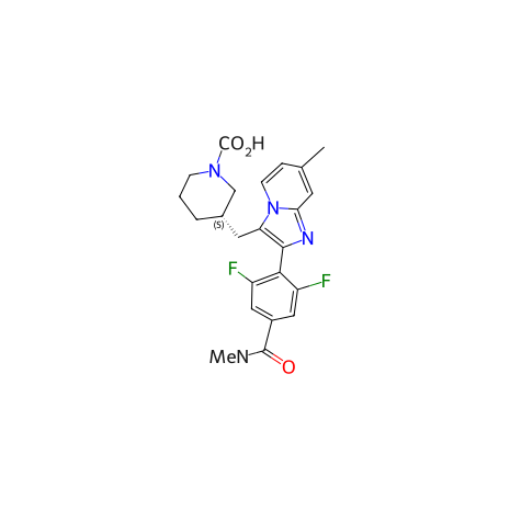 CNC(=O)c1cc(F)c(-c2nc3cc(C)ccn3c2C[C@@H]2CCCN(C(=O)O)C2)c(F)c1